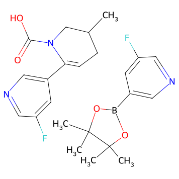 CC1(C)OB(c2cncc(F)c2)OC1(C)C.CC1CC=C(c2cncc(F)c2)N(C(=O)O)C1